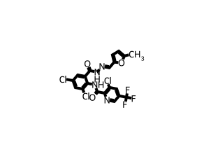 Cc1ccc(/C=N/NC(=O)c2cc(Cl)cc(Cl)c2NC(=O)c2ncc(C(F)(F)F)cc2Cl)o1